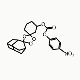 O=C(Oc1ccc([N+](=O)[O-])cc1)OC1CCCC2(C1)OOC1(O2)C2CC3CC(C2)CC1C3